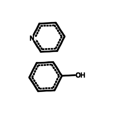 Oc1ccccc1.c1ccncc1